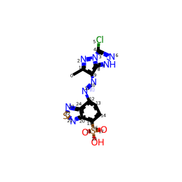 Cc1nn2c(Cl)n[nH]c2c1/N=N/c1ccc(S(=O)(=O)O)c2nsnc12